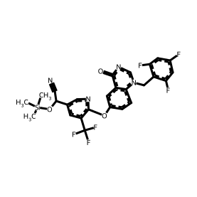 C[Si](C)(C)OC(C#N)c1cnc(Oc2ccc3c(c2)c(=O)ncn3Cc2c(F)cc(F)cc2F)c(C(F)(F)F)c1